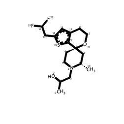 CC(O)CN1CC[C@]2(C[C@@H]1C)OCCc1cc(CC(F)F)sc12